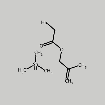 C=C(C)COC(=O)CS.[CH3][SnH]([CH3])[CH3]